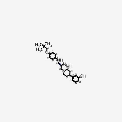 CC(C)(C)COc1ccc(N/C=C(/CN2CCC(c3cccc(O)c3)CC2)N=N)cc1